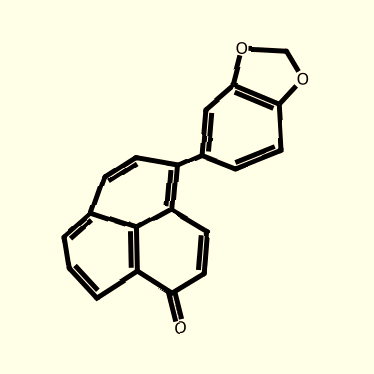 O=C1C=Cc2c(-c3ccc4c(c3)OCO4)ccc3cccc1c23